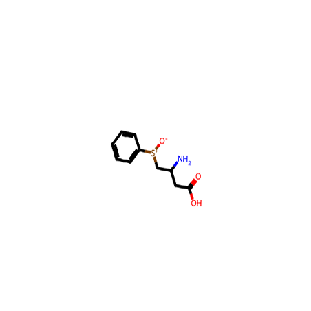 NC(CC(=O)O)C[S+]([O-])c1ccccc1